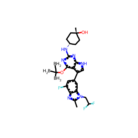 BC(B)(B)Oc1nc(N[C@H]2CC[C@@](C)(O)CC2)nc2[nH]cc(-c3cc(F)c4nc(C)n(CC(F)F)c4c3)c12